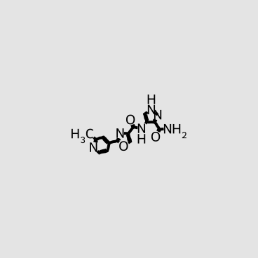 Cc1cc(-c2nc(C(=O)Nc3c[nH]nc3C(N)=O)co2)ccn1